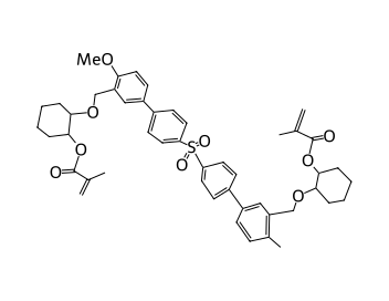 C=C(C)C(=O)OC1CCCCC1OCc1cc(-c2ccc(S(=O)(=O)c3ccc(-c4ccc(OC)c(COC5CCCCC5OC(=O)C(=C)C)c4)cc3)cc2)ccc1C